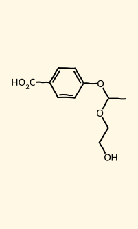 CC(OCCO)Oc1ccc(C(=O)O)cc1